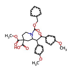 COC(=O)C1(C(=O)O)CCN(C(=O)OCc2ccccc2)C(C(C(=O)c2ccc(OC)cc2)c2ccc(OC)cc2)C1